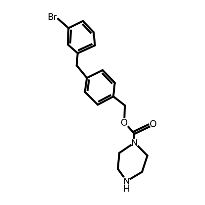 O=C(OCc1ccc(Cc2cccc(Br)c2)cc1)N1CCNCC1